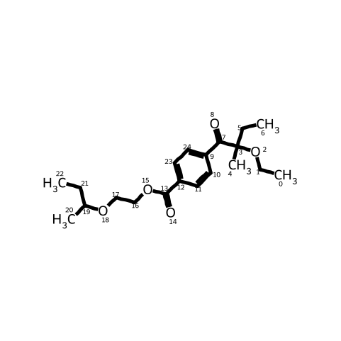 CCOC(C)(CC)C(=O)c1ccc(C(=O)OCCOC(C)CC)cc1